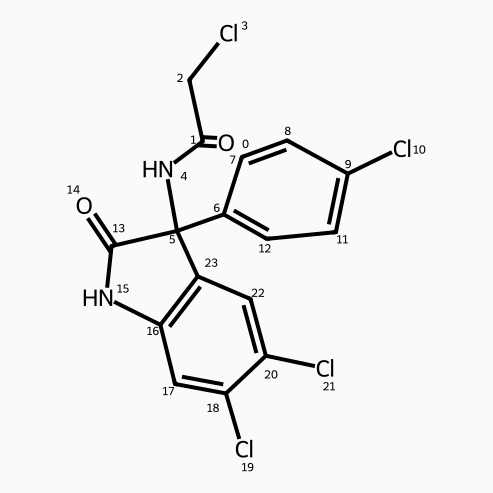 O=C(CCl)NC1(c2ccc(Cl)cc2)C(=O)Nc2cc(Cl)c(Cl)cc21